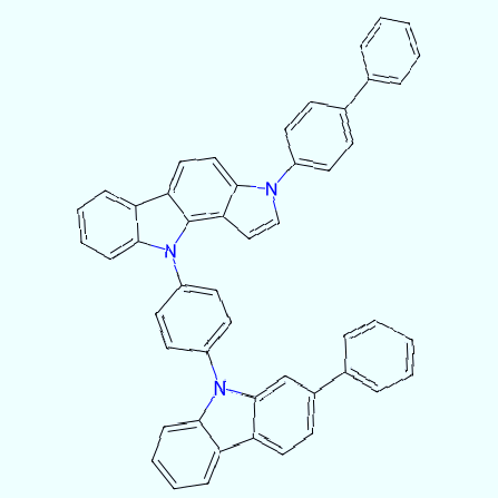 c1ccc(-c2ccc(-n3ccc4c3ccc3c5ccccc5n(-c5ccc(-n6c7ccccc7c7ccc(-c8ccccc8)cc76)cc5)c34)cc2)cc1